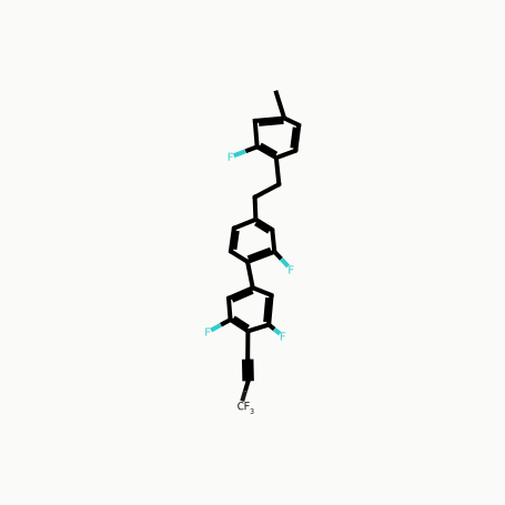 Cc1ccc(CCc2ccc(-c3cc(F)c(C#CC(F)(F)F)c(F)c3)c(F)c2)c(F)c1